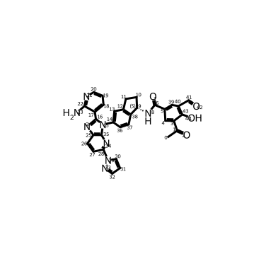 CC(=O)c1cc(C(=O)N[C@H]2CCc3cc(-n4c(-c5cccnc5N)nc5ccc(-n6cccn6)nc54)ccc32)cc(C=O)c1O